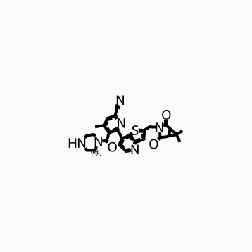 Cc1cc(C#N)nc(-c2ccnc3cc(CN4C(=O)C5C(C4=O)C5(C)C)sc23)c1C(=O)N1CCNC[C@H]1C